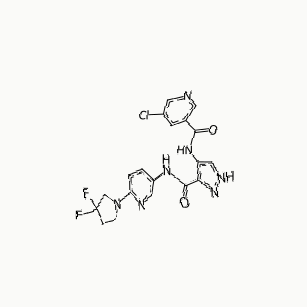 O=C(Nc1c[nH]nc1C(=O)Nc1ccc(N2CCC(F)(F)C2)nc1)c1cncc(Cl)c1